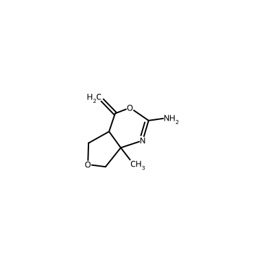 C=C1OC(N)=NC2(C)COCC12